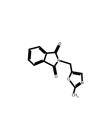 Cc1ncc(CN2C(=O)c3ccccc3C2=O)o1